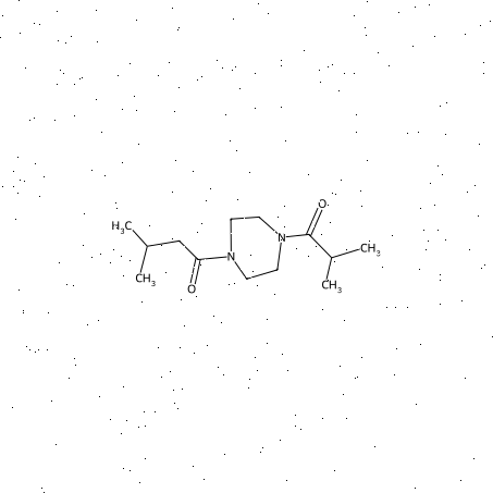 CC(C)CC(=O)N1CCN(C(=O)C(C)C)CC1